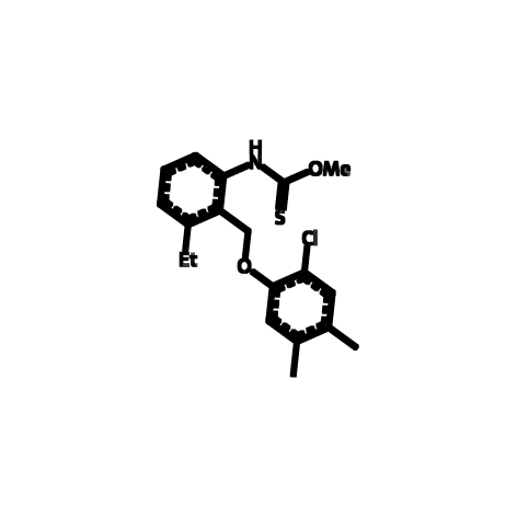 CCc1cccc(NC(=S)OC)c1COc1cc(C)c(C)cc1Cl